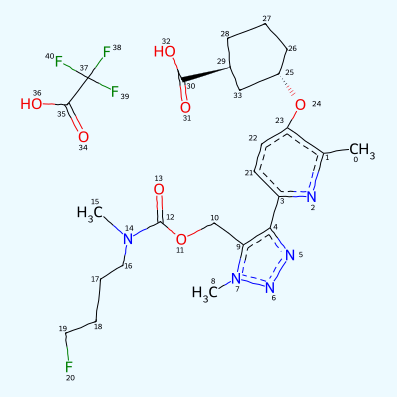 Cc1nc(-c2nnn(C)c2COC(=O)N(C)CCCCF)ccc1O[C@H]1CCC[C@H](C(=O)O)C1.O=C(O)C(F)(F)F